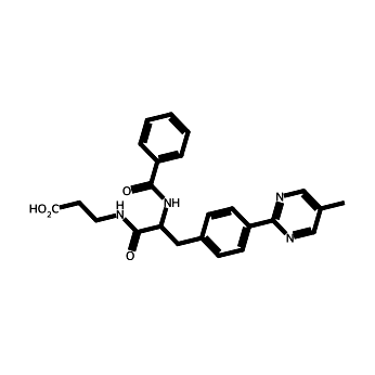 Cc1cnc(-c2ccc(CC(NC(=O)c3ccccc3)C(=O)NCCC(=O)O)cc2)nc1